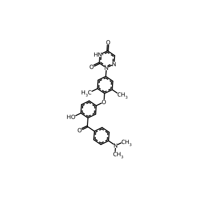 Cc1cc(-n2ncc(=O)[nH]c2=O)cc(C)c1Oc1ccc(O)c(C(=O)c2ccc(N(C)C)cc2)c1